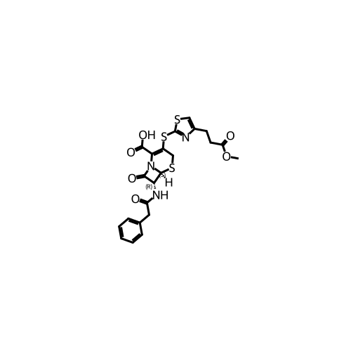 COC(=O)CCc1csc(SC2=C(C(=O)O)N3C(=O)[C@@H](NC(=O)Cc4ccccc4)[C@@H]3SC2)n1